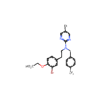 CCc1cnc(N(CCc2ccc(OCC(=O)O)c(Br)c2)Cc2ccc(C(F)(F)F)cc2)nc1